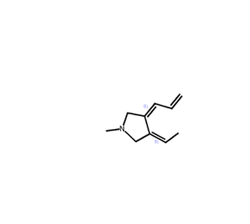 C=C/C=C1/CN(C)C/C1=C/C